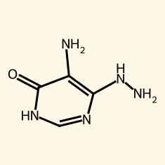 NNc1nc[nH]c(=O)c1N